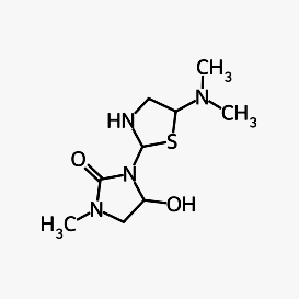 CN1CC(O)N(C2NCC(N(C)C)S2)C1=O